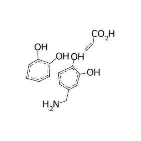 C=CC(=O)O.NCc1ccc(O)c(O)c1.Oc1ccccc1O